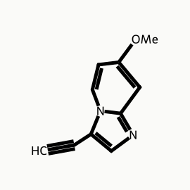 C#Cc1cnc2cc(OC)ccn12